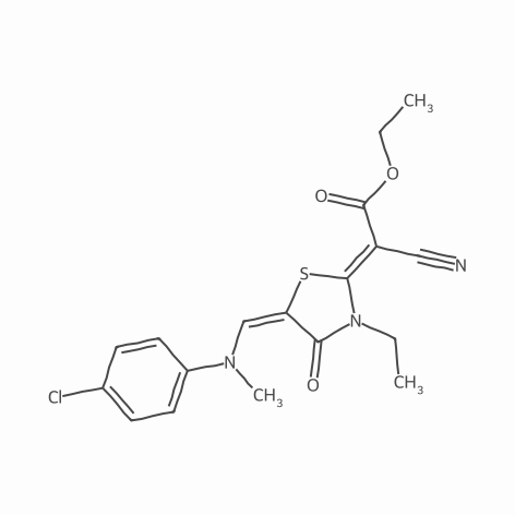 CCOC(=O)C(C#N)=c1sc(=CN(C)c2ccc(Cl)cc2)c(=O)n1CC